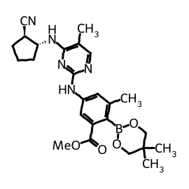 COC(=O)c1cc(Nc2ncc(C)c(N[C@@H]3CCC[C@H]3C#N)n2)cc(C)c1B1OCC(C)(C)CO1